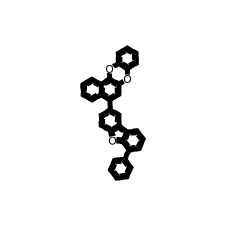 c1ccc(-c2cccc3c2oc2ccc(-c4cc5c(c6ccccc46)Oc4ccccc4O5)cc23)cc1